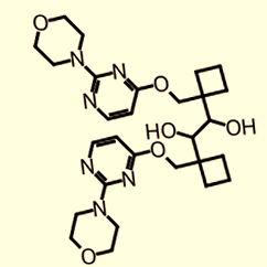 OC(C(O)C1(COc2ccnc(N3CCOCC3)n2)CCC1)C1(COc2ccnc(N3CCOCC3)n2)CCC1